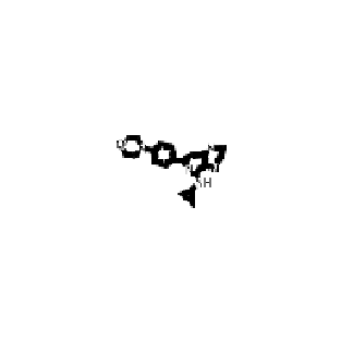 c1cnc2c(NC3CC3)nc(-c3ccc(N4CCOCC4)cc3)cc2n1